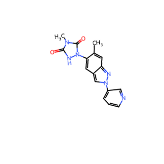 Cc1cc2nn(-c3cccnc3)cc2cc1-n1[nH]c(=O)n(C)c1=O